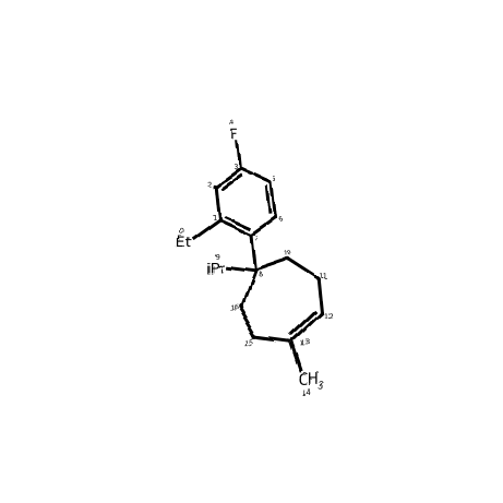 CCc1cc(F)ccc1C1(C(C)C)CCC=C(C)CC1